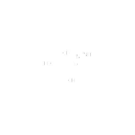 C/C=C(\ON=N)C(C)C